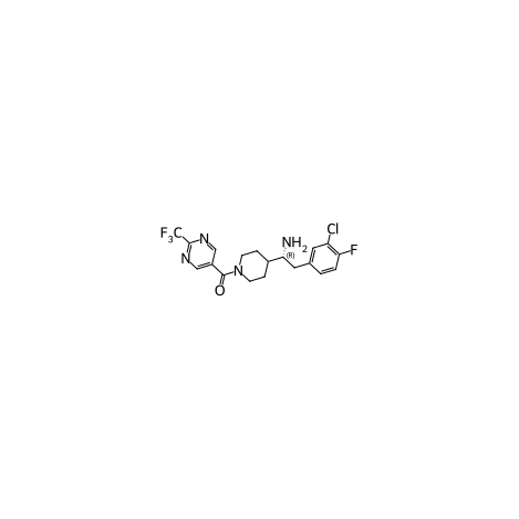 N[C@H](Cc1ccc(F)c(Cl)c1)C1CCN(C(=O)c2cnc(C(F)(F)F)nc2)CC1